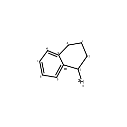 [2H]C1CCCc2ccccc21